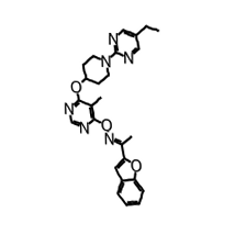 CCc1cnc(N2CCC(Oc3ncnc(ON=C(C)c4cc5ccccc5o4)c3C)CC2)nc1